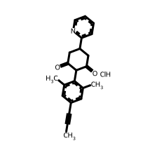 CC#Cc1cc(C)c(C2C(=O)CC(c3ccccn3)CC2=O)c(C)c1.Cl